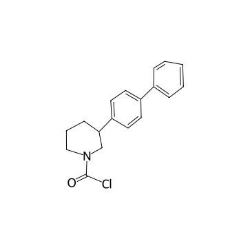 O=C(Cl)N1CCCC(c2ccc(-c3ccccc3)cc2)C1